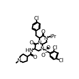 CC(C)N1CC2N(C(=O)C(NC(=O)C3CCN(C)CC3)CN2S(=O)(=O)c2ccc(Cl)cc2Cl)C(Cc2ccc(Cl)cc2)C1=O